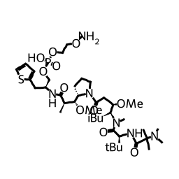 CC[C@H](C)[C@@H]([C@@H](CC(=O)N1CCC[C@H]1[C@H](OC)[C@@H](C)C(=O)N[C@H](COP(=O)(O)OCCON)Cc1cccs1)OC)N(C)C(=O)[C@@H](NC(=O)C(C)(C)N(C)C)C(C)(C)C